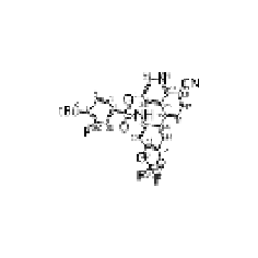 CC(C)(C)c1ccc(S(=O)(=O)Nc2cc3c(cc2-c2ccc(C#N)c4ncccc24)OC(F)(F)O3)cc1F